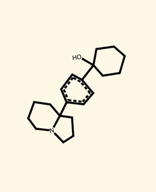 OC1(c2ccc(C34CCCCN3CCC4)cc2)CCCCC1